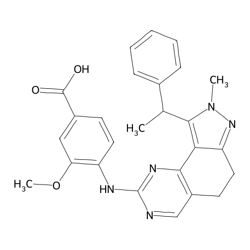 COc1cc(C(=O)O)ccc1Nc1ncc2c(n1)-c1c(nn(C)c1C(C)c1ccccc1)CC2